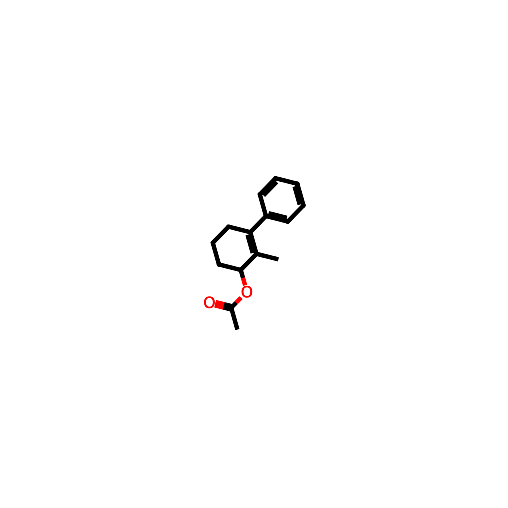 CC(=O)OC1CCCC(c2ccccc2)=C1C